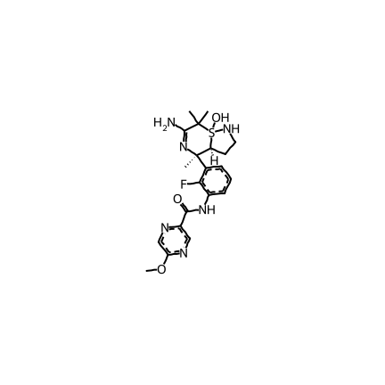 COc1cnc(C(=O)Nc2cccc([C@@]3(C)N=C(N)C(C)(C)S4(O)NCC[C@@H]34)c2F)cn1